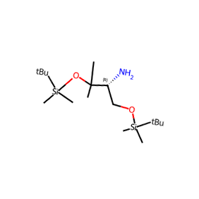 CC(C)(O[Si](C)(C)C(C)(C)C)[C@H](N)CO[Si](C)(C)C(C)(C)C